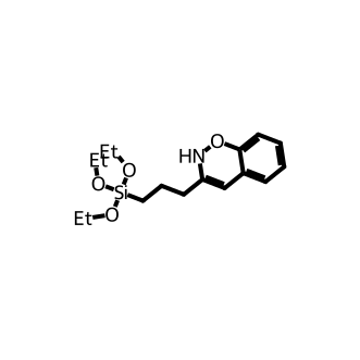 CCO[Si](CCCC1=Cc2ccccc2ON1)(OCC)OCC